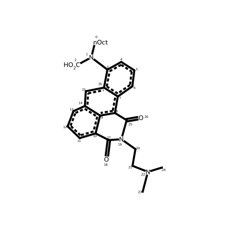 CCCCCCCCN(C(=O)O)c1cccc2c3c4c(cccc4cc12)C(=O)N(CCN(C)C)C3=O